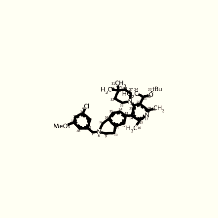 COc1cc(Cl)cc(CN2CCc3cc(-c4c(C)nc(C)c(C(OC(C)(C)C)C(=O)O)c4N4CCC(C)(C)CC4)ccc3C2)c1